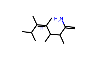 C=C(N)C(C)C(C)/C(C)=C(/C)C(C)C